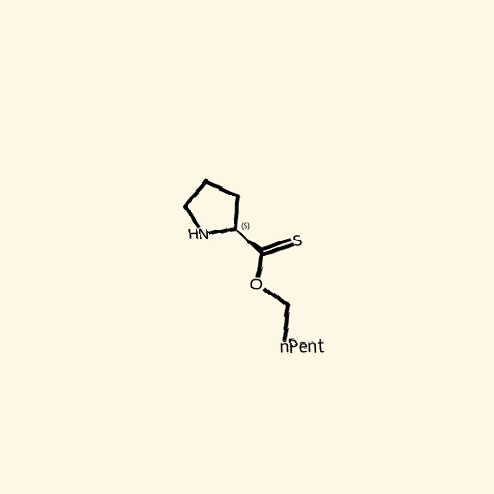 CCCCCCOC(=S)[C@@H]1CCCN1